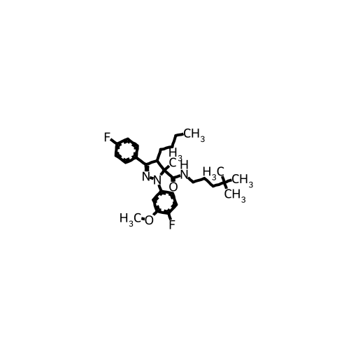 CCCCC1C(c2ccc(F)cc2)=NN(c2ccc(F)c(OC)c2)C1(C)C(=O)NCCCC(C)(C)C